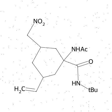 C=CC1CC(C[N+](=O)[O-])CC(NC(C)=O)(C(=O)NC(C)(C)C)C1